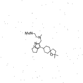 CNCCN(C)Cc1nn2c(c1C1CCC3(CC1)CCC(C)(C)O3)CCC2